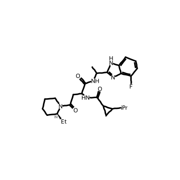 CC[C@H]1CCCCN1C(=O)CC(NC(=O)C1CC1C(C)C)C(=O)NC(C)c1nc2c(F)cccc2[nH]1